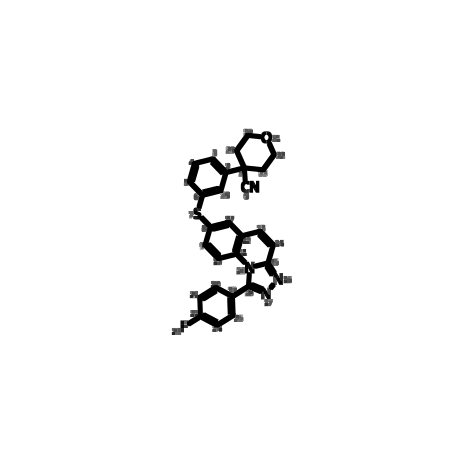 N#CC1(c2cccc(Sc3ccc4c(ccc5nnc(-c6ccc(F)cc6)n54)c3)c2)CCOCC1